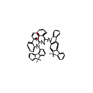 CC1(C)c2ccccc2-c2cc3c4ccccc4n(-c4nc(N(c5ccccc5-c5ccccc5)c5cccc6c5-c5ccccc5C6(C)C)nc5ccccc45)c3cc21